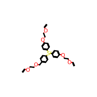 C=COCCOCc1ccc([S+](c2ccc(OCCOC=C)cc2)c2ccc(OCCOC=C)cc2)cc1